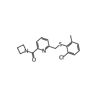 Cc1cccc(Cl)c1SCc1cccc(C(=O)N2CCC2)n1